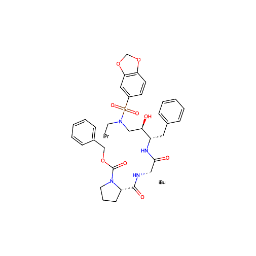 CC[C@H](C)[C@H](NC(=O)[C@@H]1CCCN1C(=O)OCc1ccccc1)C(=O)N[C@@H](Cc1ccccc1)[C@H](O)CN(CC(C)C)S(=O)(=O)c1ccc2c(c1)OCO2